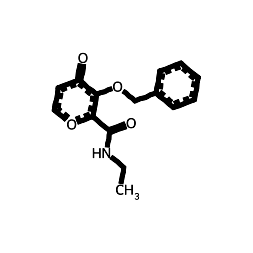 CCNC(=O)c1occc(=O)c1OCc1ccccc1